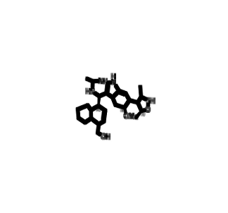 CO[C@H]1CC2C(=CC1C1C(C)NO[C@H]1C)NC1=C2C([C@H]2C=CC(CO)C3CCCCC32)NC(C)N1